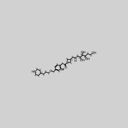 O=C(Cc1ccc(COCCCC2CCNCC2)cc1F)N1CC(CNC[C@H](O)[C@@H](O)[C@H](O)CCO)C1